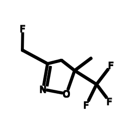 CC1(C(F)(F)F)CC(CF)=NO1